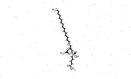 CCCCCCCCCCCCCCCCOCC(COP(=O)(O)CCCCNC)OC(C)=O